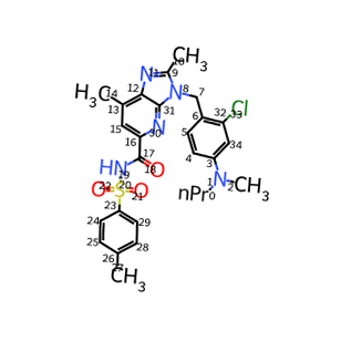 CCCN(C)c1ccc(Cn2c(C)nc3c(C)cc(C(=O)NS(=O)(=O)c4ccc(C)cc4)nc32)c(Cl)c1